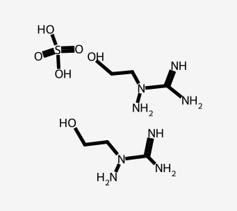 N=C(N)N(N)CCO.N=C(N)N(N)CCO.O=S(=O)(O)O